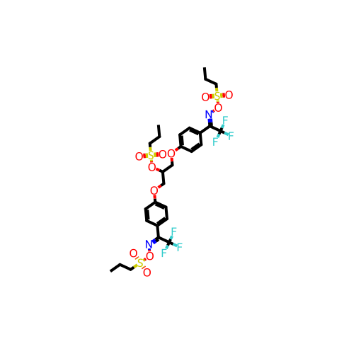 CCCS(=O)(=O)O/N=C(/c1ccc(OCC(COc2ccc(/C(=N/OS(=O)(=O)CCC)C(F)(F)F)cc2)OS(=O)(=O)CCC)cc1)C(F)(F)F